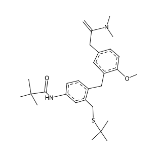 C=C(Cc1ccc(OC)c(Cc2ccc(NC(=O)C(C)(C)C)cc2CSC(C)(C)C)c1)N(C)C